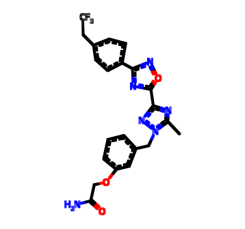 Cc1nc(-c2nc(-c3ccc(CC(F)(F)F)cc3)no2)nn1Cc1cccc(OCC(N)=O)c1